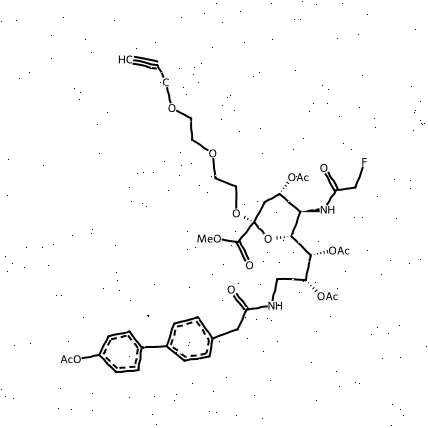 C#CCOCCOCCO[C@]1(C(=O)OC)C[C@H](OC(C)=O)[C@@H](NC(=O)CF)[C@H]([C@H](OC(C)=O)[C@@H](CNC(=O)Cc2ccc(-c3ccc(OC(C)=O)cc3)cc2)OC(C)=O)O1